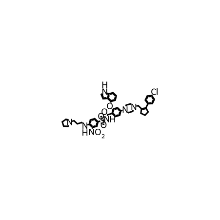 O=C(NS(=O)(=O)c1ccc(NCCCN2CCCC2)c([N+](=O)[O-])c1)c1ccc(N2CCN(CC3=C(c4ccc(Cl)cc4)CCC3)CC2)cc1Oc1cccc2[nH]ccc12